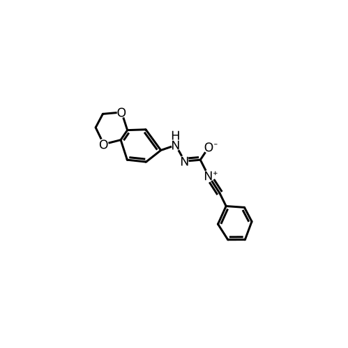 [O-]C(=NNc1ccc2c(c1)OCCO2)[N+]#Cc1ccccc1